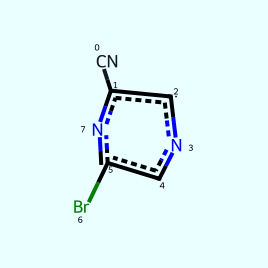 N#Cc1[c]ncc(Br)n1